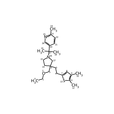 CCOCC1(CCc2cc(C)c(C)s2)CCN(C(C)(C)c2ccc(C)nc2)C1